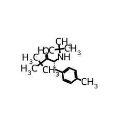 Cc1ccc(C[C@@H](NC(C)(C)C)C(=O)C(C)(C)C)cc1